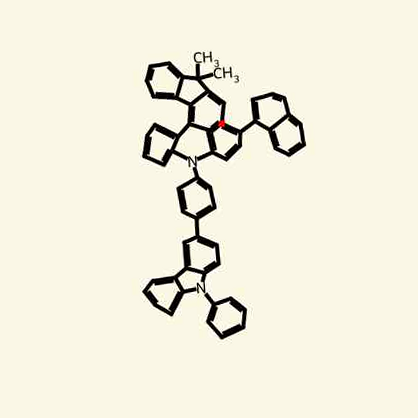 CC1(C)c2ccccc2-c2c(-c3ccccc3N(c3ccc(-c4ccc5c(c4)c4ccccc4n5-c4ccccc4)cc3)c3ccc(-c4cccc5ccccc45)cc3)cccc21